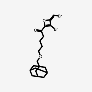 O=C(CCCCOCC12CC3CC(CC(C3)C1)C2)C1=C(Br)C(=CBr)O1